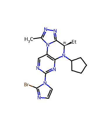 CC[C@@H]1c2nnc(C)n2-c2cnc(-n3ccnc3Br)nc2N1C1CCCC1